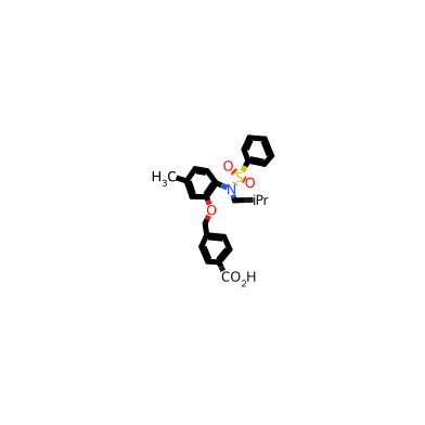 Cc1ccc(N(CC(C)C)S(=O)(=O)c2ccccc2)c(OCc2ccc(C(=O)O)cc2)c1